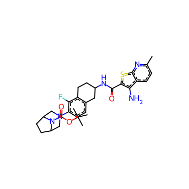 Cc1ccc2c(N)c(C(=O)NC3CCc4c(ccc(N5CC6CCC(C5)N6C(=O)OC(C)(C)C)c4F)C3)sc2n1